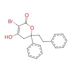 O=C1OC(CCc2ccccc2)(c2ccccc2)CC(O)=C1Br